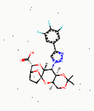 CC1(C)OC[C@H]2O[C@]34CCC(O3)[C@H](C(=O)O)O[C@@H]4[C@@H](n3cc(-c4cc(F)c(F)c(F)c4)nn3)[C@H]2O1